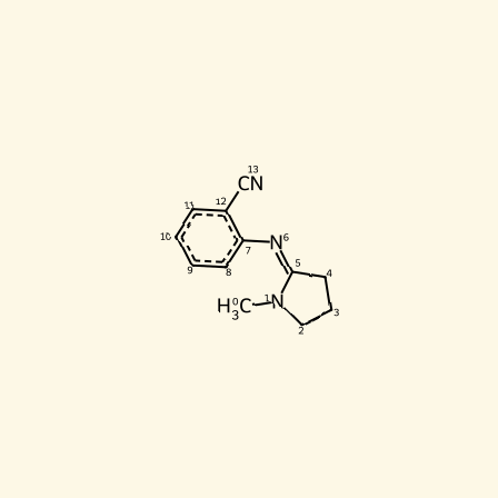 CN1CCCC1=Nc1ccccc1C#N